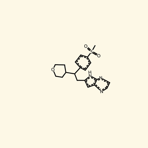 CS(=O)(=O)c1ccc(C(Cc2cc3nccnc3[nH]2)C2CCOCC2)cc1